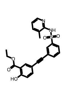 CCOC(=O)c1cc(C#Cc2cccc(S(=O)(=O)Nc3ncccc3C)c2)ccc1O